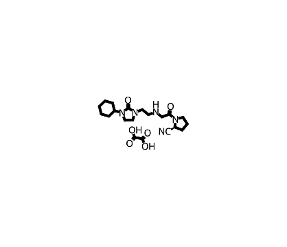 N#C[C@@H]1CCCN1C(=O)CNCCN1CCN(C2CCCCC2)C1=O.O=C(O)C(=O)O